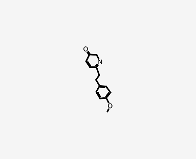 COc1ccc(CCC2=NCC(=O)C=C2)cc1